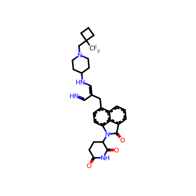 N=C/C(=C\NC1CCN(CC2(C(F)(F)F)CCC2)CC1)Cc1ccc2c3c(cccc13)C(=O)N2C1CCC(=O)NC1=O